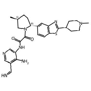 C[C@H]1CC[C@H](c2ccc3sc(C4CCN(C)CC4)nc3c2)N(C(=O)C(=O)Nc2cncc(C=N)c2N)C1